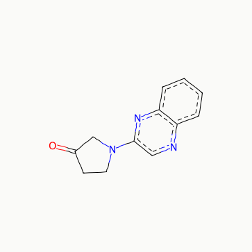 O=C1CCN(c2cnc3ccccc3n2)C1